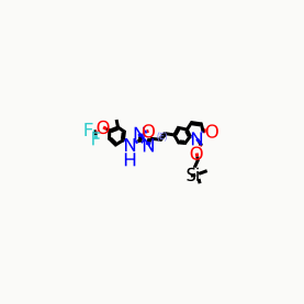 Cc1cc(Nc2noc(/C=C/c3ccc4c(ccc(=O)n4COCC[Si](C)(C)C)c3)n2)ccc1OC(F)F